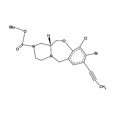 CC#Cc1cc2c(c(Cl)c1Br)OC[C@H]1CN(C(=O)OC(C)(C)C)CCN1C2